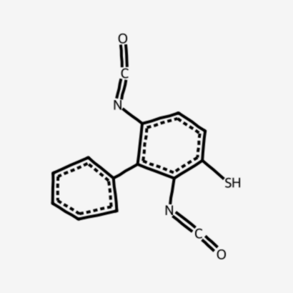 O=C=Nc1ccc(S)c(N=C=O)c1-c1ccccc1